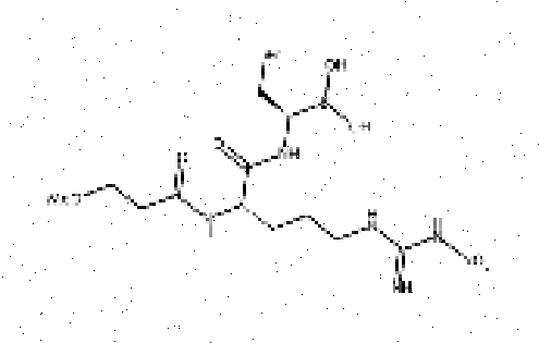 COCCC(=O)N[C@@H](CCCNC(=N)N[N+](=O)[O-])C(=O)N[C@@H](CC(C)C)B(O)O